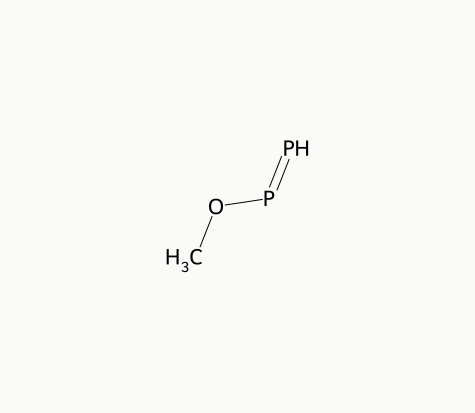 COP=P